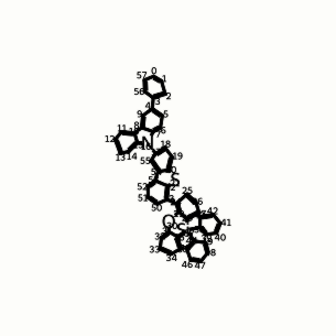 c1ccc(-c2ccc3c(c2)c2ccccc2n3-c2ccc3sc4c(-c5cccc6c5Oc5ccccc5[Si]6(c5ccccc5)c5ccccc5)cccc4c3c2)cc1